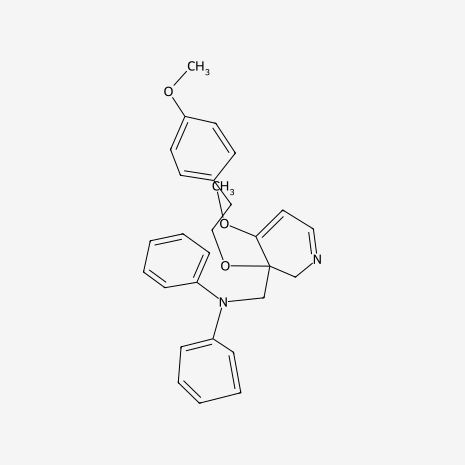 COC1=CC=NCC1(CN(c1ccccc1)c1ccccc1)OCCc1ccc(OC)cc1